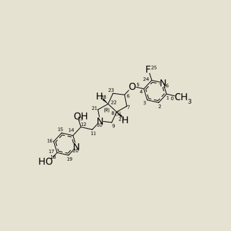 Cc1ccc(OC2C[C@@H]3CN(CC(O)c4ccc(O)cn4)C[C@@H]3C2)c(F)n1